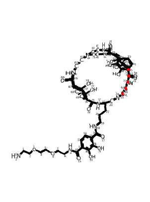 NCCOCCOCCNC(=O)c1ccc(C(=O)NCCCC2CN3CCNC(=O)c4ccc(c(O)c4O)C(=O)NCCN(CCNC(=O)c4ccc(c(O)c4O)C(=O)NCC3)CCNC(=O)c3ccc(c(O)c3O)C(=O)N2)c(O)c1O